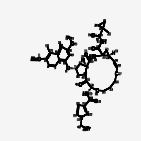 COc1ccc2c(O[C@@H]3C[C@H]4C(=O)N[C@]5(C(=O)N[S+]([O-])C6(C)CC6)C[C@H]5/C=C\CCCCC[C@H](NC(=O)c5ccn(CC(C)C)n5)C(=O)N4C3)cc(OC(C)C)nc2c1C